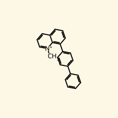 C[n+]1cccc2cccc(-c3ccc(-c4ccccc4)cc3)c21